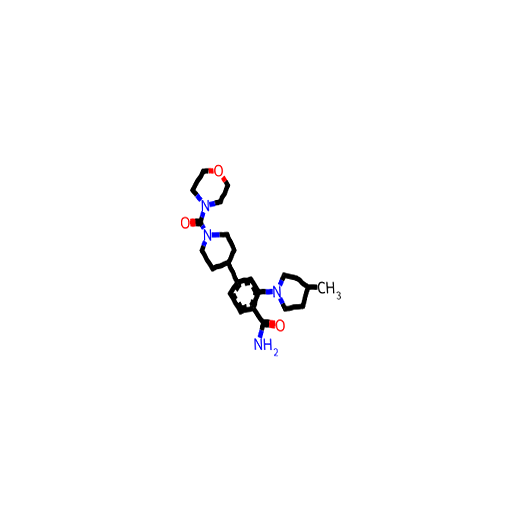 CC1CCN(c2cc(C3CCN(C(=O)N4CCOCC4)CC3)ccc2C(N)=O)CC1